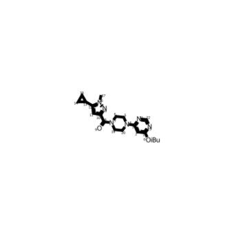 CC(C)COc1cc(N2CCN(C(=O)c3cc(C4CC4)n(C)n3)CC2)ncn1